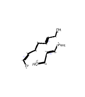 CC/C=C\CC/C=C/CO.CCCCC/C=C/CO